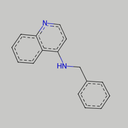 c1ccc(CNc2ccnc3ccccc23)cc1